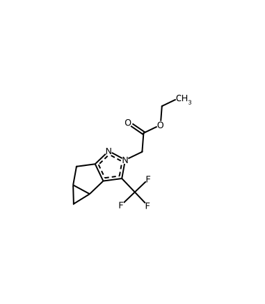 CCOC(=O)Cn1nc2c(c1C(F)(F)F)C1CC1C2